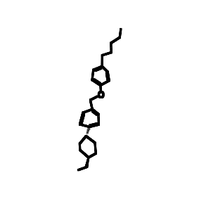 CCCCCc1ccc(OCc2ccc([C@H]3CC[C@H](CC)CC3)cc2)cc1